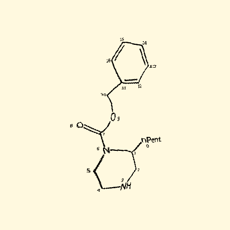 CCCCCC1CNCCN1C(=O)OCc1ccccc1